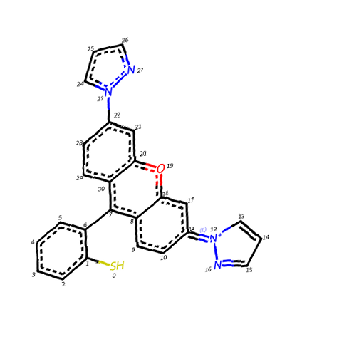 Sc1ccccc1-c1c2cc/c(=[N+]3/C=CC=N3)cc-2oc2cc(-n3cccn3)ccc12